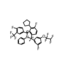 C[C@](c1cc(F)cc(OC(F)(F)C(F)F)c1)(c1ccc(F)c(C2CCCC2)c1)N(C(=O)c1ccc(F)c(C(F)(F)F)c1)c1ccccc1